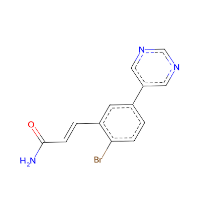 NC(=O)/C=C/c1cc(-c2cncnc2)ccc1Br